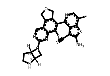 N#Cc1c(N)sc2c(F)cnc(-c3c4c(c5cnc(N6C[C@@H]7NCC[C@@H]76)nc5c3F)COC4)c12